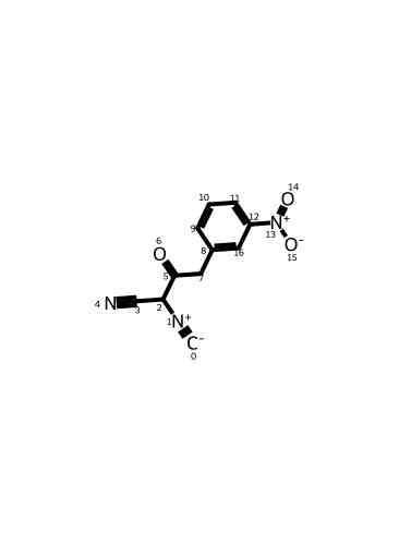 [C-]#[N+]C(C#N)C(=O)Cc1cccc([N+](=O)[O-])c1